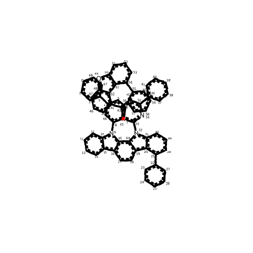 c1ccc(-c2cccc(-n3c4ccccc4c4ccc5c6c(-c7ccccc7)cccc6n(-c6nc(-c7ccccc7)nc(-c7cccc8oc9cccc(-c%10ccccc%10)c9c78)n6)c5c43)c2)cc1